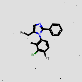 Cc1c(-n2c(CC(C)C)cnc2-c2ccccc2)ccc(C(C)C)c1Br